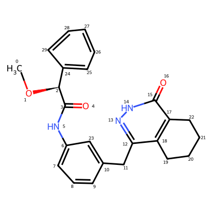 CO[C@H](C(=O)Nc1cccc(Cc2n[nH]c(=O)c3c2CCCC3)c1)c1ccccc1